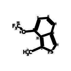 Cc1s[c]c2cccc(OC(F)(F)F)c12